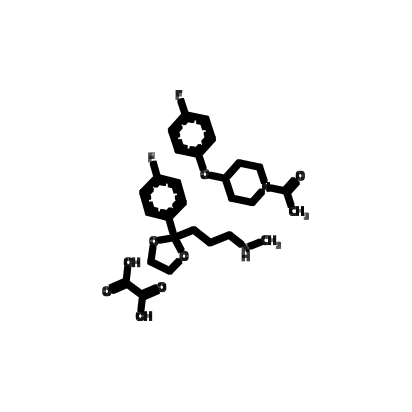 CC(=O)N1CCC(Oc2ccc(F)cc2)CC1.CNCCCC1(c2ccc(F)cc2)OCCO1.O=C(O)C(=O)O